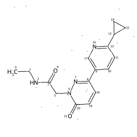 CCNC(=O)Cn1nc(-c2ccc(C3CC3)nc2)ccc1=O